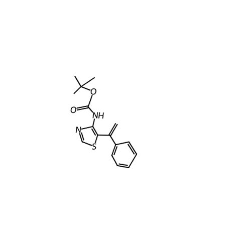 C=C(c1ccccc1)c1scnc1NC(=O)OC(C)(C)C